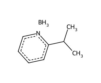 B.CC(C)c1ccccn1